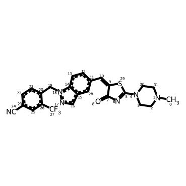 CN1CCN(C2=NC(=O)C(=Cc3ccc4c(cnn4Cc4ccc(C#N)cc4C(F)(F)F)c3)S2)CC1